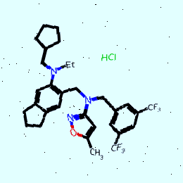 CCN(CC1CCCC1)c1cc2c(cc1CN(Cc1cc(C(F)(F)F)cc(C(F)(F)F)c1)c1cc(C)on1)CCC2.Cl